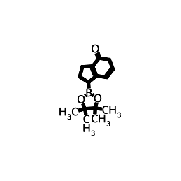 CC1(C)OB(C2CCC3=C2C=CCC3=O)OC1(C)C